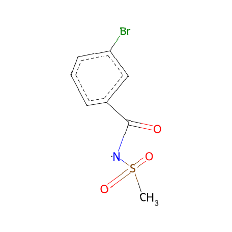 CS(=O)(=O)[N]C(=O)c1cccc(Br)c1